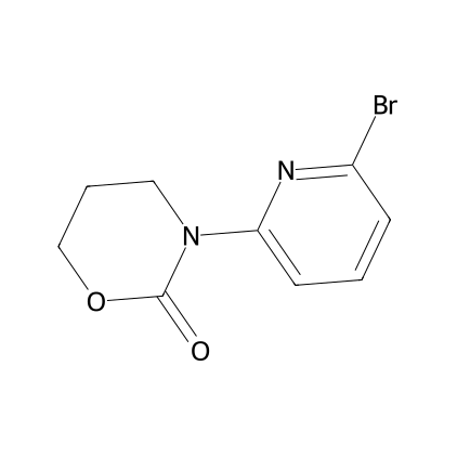 O=C1OCCCN1c1cccc(Br)n1